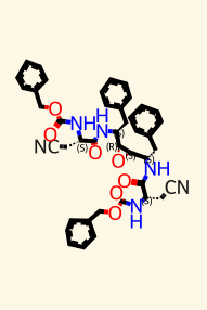 N#CC[C@H](NC(=O)OCc1ccccc1)C(=O)N[C@@H](Cc1ccccc1)[C@@H]1O[C@@H]1[C@H](Cc1ccccc1)NC(=O)[C@H](CC#N)NC(=O)OCc1ccccc1